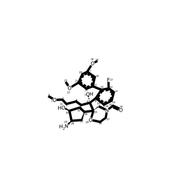 COCCCC[C@@](O)(c1cccc(F)c1-c1cc(OC)cc(OC)c1)[C@@]1([C@H]2C[C@@H](N)[C@@H](O)C2)CN(C=O)CCO1